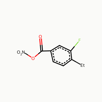 CCc1ccc(C(=O)O[N+](=O)[O-])cc1F